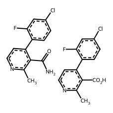 Cc1nccc(-c2ccc(Cl)cc2F)c1C(=O)O.Cc1nccc(-c2ccc(Cl)cc2F)c1C(N)=O